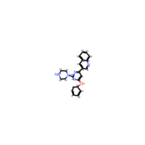 C1=CCC(Oc2cc(-c3cnc4ccccc4c3)nc(N3CCNCC3)n2)C=C1